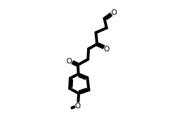 COc1ccc(C(=O)CCC(=O)CCC=O)cc1